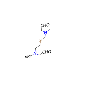 CCCN(CC=O)CCSCN(C)CC=O